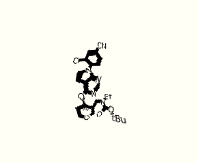 CCN(CC1COCC[C@H]1Oc1ncnc2c1ccn2-c1ccc(C#N)cc1Cl)C(=O)OC(C)(C)C